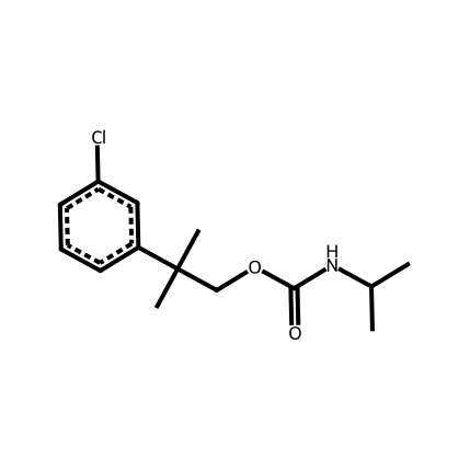 CC(C)NC(=O)OCC(C)(C)c1cccc(Cl)c1